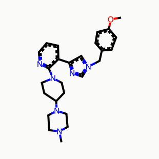 COc1ccc(Cn2cnc(-c3cccnc3N3CCC(N4CCN(C)CC4)CC3)c2)cc1